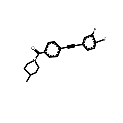 CC1CCN(C(=O)c2ccc(C#Cc3ccc(F)c(F)c3)cc2)CC1